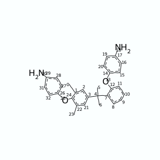 Cc1cc(C(C)(C)c2ccccc2Oc2ccc(N)cc2)cc(C)c1Oc1ccc(N)cc1